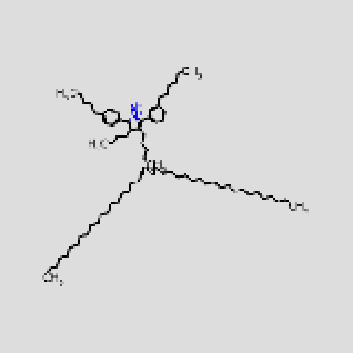 CCCCCCCCCCCCCCCCCCC[CH2][Pd][CH2]CCCCCCCCCCCCCCCCCCC.CCCCCCc1cccc(C2=C(CCCCC)C(CCCC)=C(c3ccc(CCCCC)cc3)[N+]2=[N-])c1